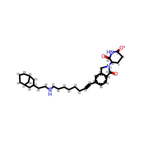 O=C1CCC(N2Cc3cc(C#CCCCCCCNCCC4CC5CCCC(C5)C4)ccc3C2=O)C(=O)N1